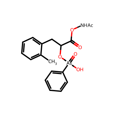 CC(=O)NOC(=O)C(Cc1ccccc1C)O[As](=O)(O)c1ccccc1